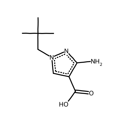 CC(C)(C)Cn1cc(C(=O)O)c(N)n1